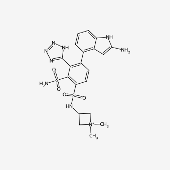 C[N+]1(C)CC(NS(=O)(=O)c2ccc(-c3cccc4[nH]c(N)cc34)c(-c3nnn[nH]3)c2S(N)(=O)=O)C1